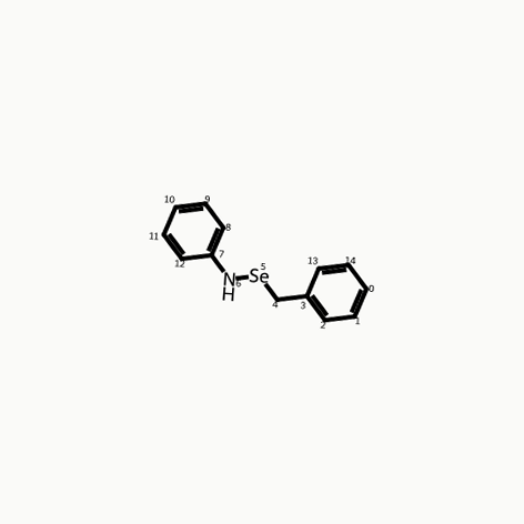 c1ccc(C[Se]Nc2ccccc2)cc1